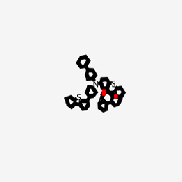 c1ccc(-c2ccc(N(c3ccc(-c4cccc5c4sc4ccccc45)cc3)c3ccc4c(c3)C3(c5ccccc5S4)c4ccccc4-c4ccccc4-c4ccccc43)cc2)cc1